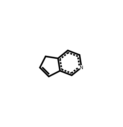 C1=Cc2cnccc2C1